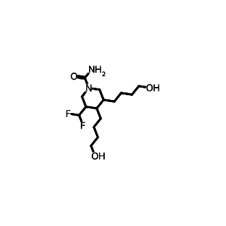 NC(=O)N1CC(CCCCO)C(CCCCO)C(C(F)F)C1